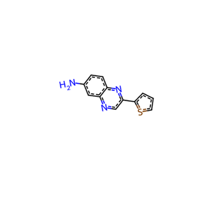 Nc1ccc2nc(-c3cccs3)cnc2c1